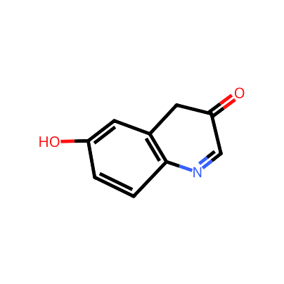 O=C1C=Nc2ccc(O)cc2C1